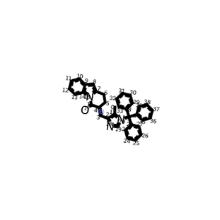 Cc1c(/C=C2\CCc3cc4ccccc4n3C2=O)ncn1C(c1ccccc1)(c1ccccc1)c1ccccc1